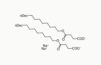 CCCCCCCCCCCCCCCCCCOC(=O)CCC(=O)[O-].CCCCCCCCCCCCCCCCCCOC(=O)CCC(=O)[O-].[Na+].[Na+]